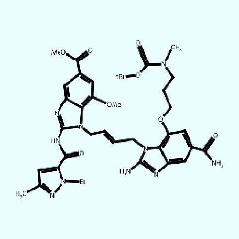 CCn1nc(C)cc1C(=O)Nc1nc2cc(C(=O)OC)cc(OC)c2n1CC=CCn1c(N)nc2cc(C(N)=O)cc(OCCCN(C)C(=O)OC(C)(C)C)c21